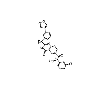 O=C([C@H](O)c1cccc(Cl)c1)N1CCc2nc(C3(c4cccc(-c5cnsc5)c4)CC3)[nH]c(=O)c2C1